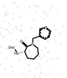 O=CN[C@H]1CCCCN(Cc2cccnc2)C1=O